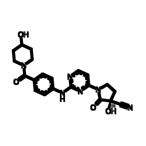 N#C[C@@]1(O)CCN(c2ccnc(Nc3ccc(C(=O)N4CCC(O)CC4)cc3)n2)C1=O